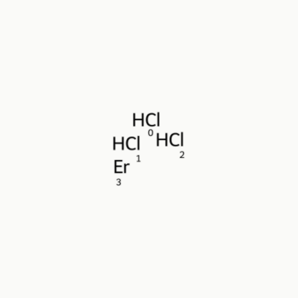 Cl.Cl.Cl.[Er]